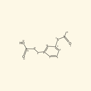 CC(=O)Sc1cccc(CCC(=O)O)c1